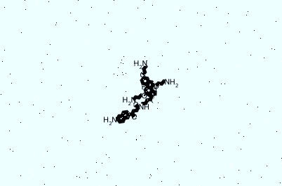 C[C@H](CCCNC(=O)CCC(=O)c1ccc2cc(N)ccc2c1)[C@H]1CC[C@H]2C3[C@H](OCCCN)CC4C[C@H](OCCCN)CCC4(C)[C@H]3C[C@H](OCCCN)C12C